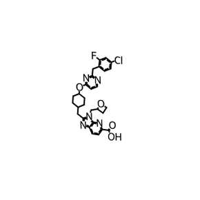 O=C(O)c1ccc2nc(CC3CCC(Oc4ccnc(Cc5ccc(Cl)cc5F)n4)CC3)n(CC3CCO3)c2n1